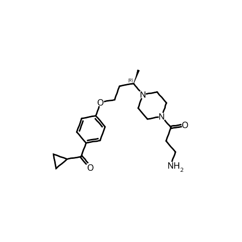 C[C@H](CCOc1ccc(C(=O)C2CC2)cc1)N1CCN(C(=O)CCN)CC1